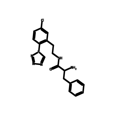 NC(Cc1ccccc1)C(=O)NCCc1cc(Cl)ccc1-n1cnnn1